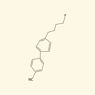 N#Cc1ccc(-c2ccc(CCCCF)cc2)cc1